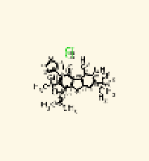 C[C](C)=[Zr+2][c]1c2c(c(C)c(C3=CC=CC3)c1C(C)(C)C)-c1c(cc(C(C)(C)C)c(C)c1C)C2.[Cl-].[Cl-]